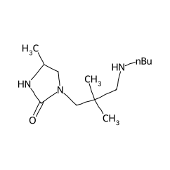 CCCCNCC(C)(C)CN1CC(C)NC1=O